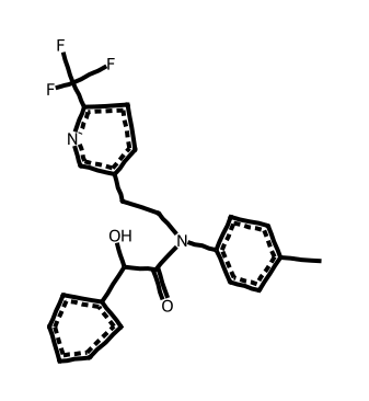 Cc1ccc(N(CCc2ccc(C(F)(F)F)nc2)C(=O)C(O)c2ccccc2)cc1